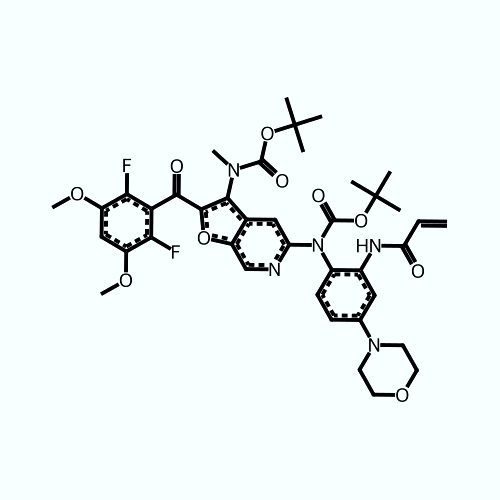 C=CC(=O)Nc1cc(N2CCOCC2)ccc1N(C(=O)OC(C)(C)C)c1cc2c(N(C)C(=O)OC(C)(C)C)c(C(=O)c3c(F)c(OC)cc(OC)c3F)oc2cn1